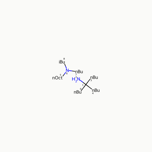 CCCCC(N)(CCCC)CCCC.CCCCCCCCN(CCCC)C(C)CC